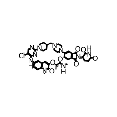 CNC(=O)[C@@H](C)Oc1cc2cc(Nc3nc(N4CCC(CN5CCN(c6ccc7c(c6)C(=O)N([C@@H]6CCC(=O)NC6=O)C7=O)CC5)CC4)ncc3Cl)ccc2n(C)c1=O